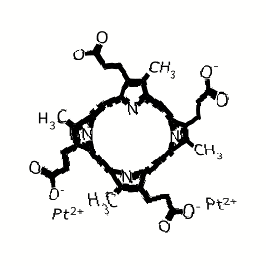 CC1=C(CCC(=O)[O-])c2cc3[nH]c(cc4nc(cc5[nH]c(cc1n2)c(CCC(=O)[O-])c5C)C(CCC(=O)[O-])=C4C)c(CCC(=O)[O-])c3C.[Pt+2].[Pt+2]